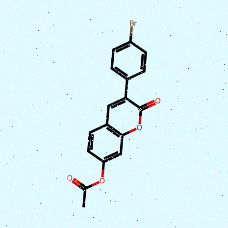 CC(=O)Oc1ccc2cc(-c3ccc(Br)cc3)c(=O)oc2c1